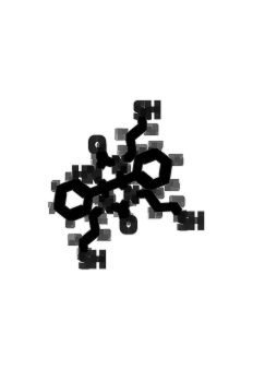 O=C1NC2(c3ccccc3)N(CCCS)C(=O)N(CCCS)C2(c2ccccc2)N1CCCS